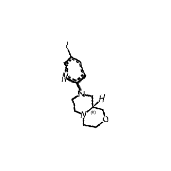 Ic1ccc(N2CCN3CCOC[C@H]3C2)nc1